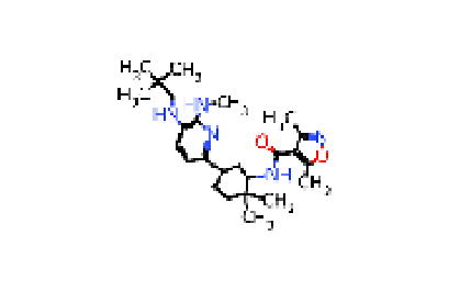 CNc1nc(C2CCC(C)(C)C(NC(=O)c3c(C)noc3C)C2)ccc1NCC(C)(C)C